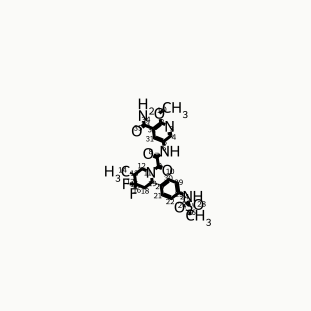 COc1ncc(NC(=O)C(=O)N2C[C@H](C)C(F)(F)C[C@H]2c2ccc(NS(C)(=O)=O)cc2)cc1C(N)=O